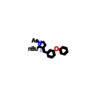 CCCCC1/C(=C/c2cccc(Oc3ccccc3)c2)CCN1C(C)=O